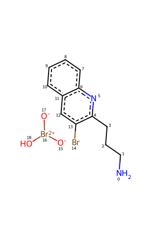 NCCCc1nc2ccccc2cc1Br.[O-][Br+2]([O-])O